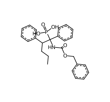 CCCC(c1ccccc1)C(NC(=O)OCc1ccccc1)(c1ccccc1)P(=O)(O)O